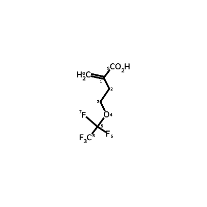 C=C(CCOC(F)(F)C(F)(F)F)C(=O)O